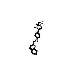 CN1C(c2ccc(OCc3ccc4ccccc4n3)cc2)=CNC1(C)C=O